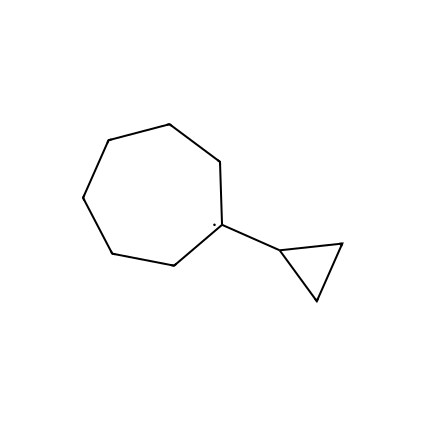 C1CCC[C](C2CC2)CC1